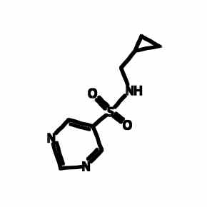 O=S(=O)(NCC1CC1)c1cncnc1